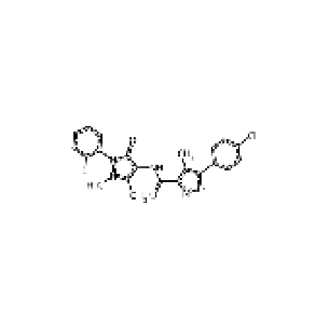 Cc1c(C(=O)Nc2c(C)n(C)n(-c3ccccc3F)c2=O)noc1-c1ccc(Cl)cc1